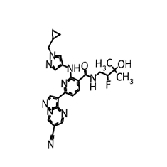 CC(C)(O)C(F)CNC(=O)c1ccc(-c2cnn3cc(C#N)cnc23)nc1Nc1cnn(CC2CC2)c1